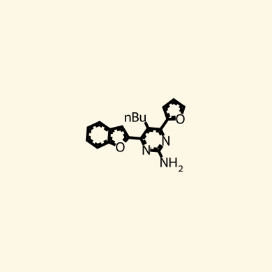 CCCCc1c(-c2ccco2)nc(N)nc1-c1cc2ccccc2o1